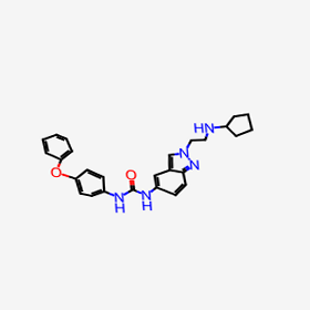 O=C(Nc1ccc(Oc2ccccc2)cc1)Nc1ccc2nn(CCNC3CCCC3)cc2c1